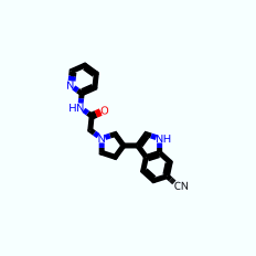 N#Cc1ccc2c(C3CCN(CC(=O)Nc4ccccn4)C3)c[nH]c2c1